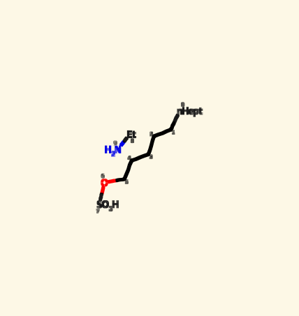 CCCCCCCCCCCCOS(=O)(=O)O.CCN